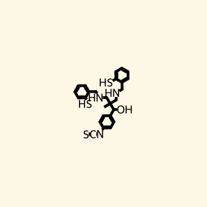 CC(CNCc1ccccc1S)(CNCc1ccccc1S)C(O)c1ccc(N=C=S)cc1